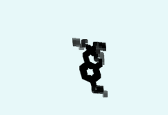 Cc1ccc(CC(C)(C)O)c(F)c1